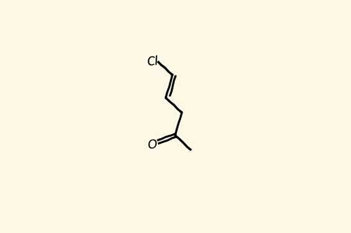 CC(=O)CC=CCl